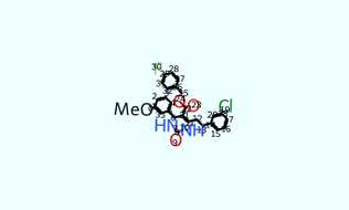 COc1cccc(C2NC(=O)NC(CCc3cccc(Cl)c3)=C2C(=O)OCc2ccc(F)cc2)c1